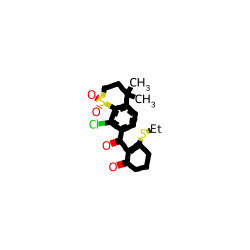 CCSC1=C(C(=O)c2ccc3c(c2Cl)S(=O)(=O)CCC3(C)C)C(=O)CCC1